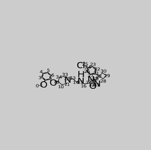 COc1ccccc1OC1CCN(CCNCc2nc(C3(c4ccc(Cl)cc4)CCC3)no2)CC1